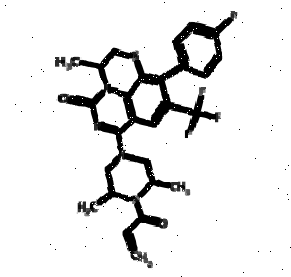 C=CC(=O)N1C(C)CN(c2nc(=O)n3c4c(c(-c5ccc(F)cc5)c(C(F)(F)F)cc24)SCC3C)CC1C